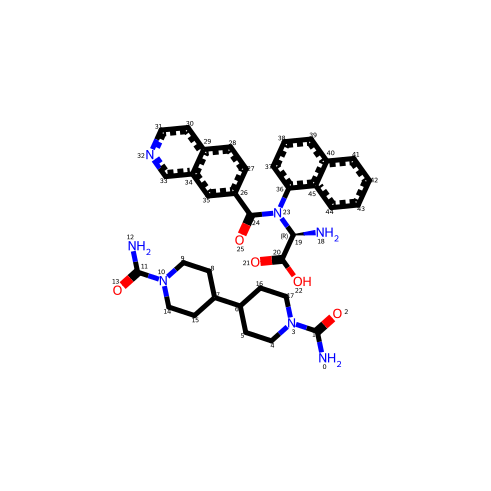 NC(=O)N1CCC(C2CCN(C(N)=O)CC2)CC1.N[C@@H](C(=O)O)N(C(=O)c1ccc2ccncc2c1)c1cccc2ccccc12